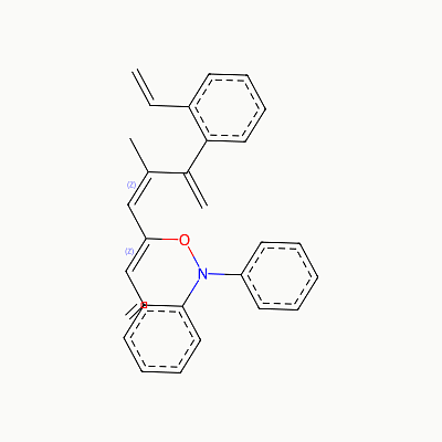 C=C/C=C(/C=C(/C)C(=C)c1ccccc1C=C)ON(c1ccccc1)c1ccccc1